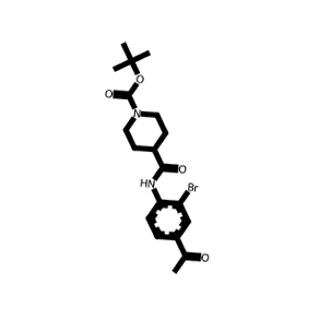 CC(=O)c1ccc(NC(=O)C2CCN(C(=O)OC(C)(C)C)CC2)c(Br)c1